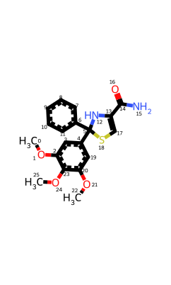 COc1cc(C2(c3ccccc3)NC(C(N)=O)=CS2)cc(OC)c1OC